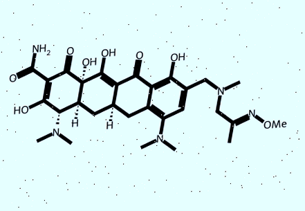 CO/N=C(\C)CN(C)Cc1cc(N(C)C)c2c(c1O)C(=O)C1=C(O)[C@]3(O)C(=O)C(C(N)=O)=C(O)[C@@H](N(C)C)[C@@H]3C[C@@H]1C2